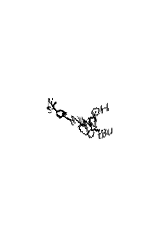 Cc1ncsc1-c1ccc([C@H](C)NC(=O)N2C[C@@H](O)CN2C(=O)CC(C)(C)C)cc1